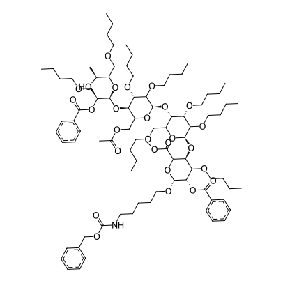 CCCCOCC(O[C@@H](O[C@@H]1C(COC(C)=O)O[C@H](O[C@H]2C(COCCCC)O[C@H](O[C@@H]3C(C(=O)OC)O[C@@H](OCCCCCNC(=O)OCc4ccccc4)[C@@H](OC(=O)c4ccccc4)C3OCCCC)C(OCCCC)[C@H]2OCCCC)C(OCCCC)[C@H]1OCCCC)[C@H](COCCCC)OC(=O)c1ccccc1)[C@H](C)O